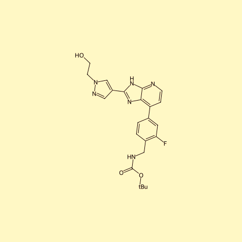 CC(C)(C)OC(=O)NCc1ccc(-c2ccnc3[nH]c(-c4cnn(CCO)c4)nc23)cc1F